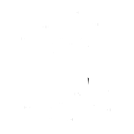 CCC(=O)OC(C)CN[C@@H](Cc1ccc(OC(=O)C(C)CC)c(OC(=O)C(C)CC)c1)C(=O)OC